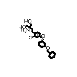 Cl.NC(CO)(CO)CCc1ccc(Sc2cccc(OCc3ccccc3)c2)cc1Cl